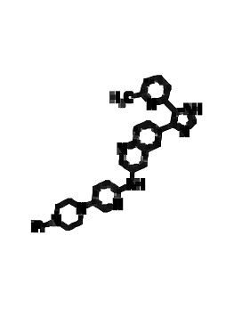 Cc1cccc(-c2[nH]cnc2-c2ccc3ncc(Nc4ccc(N5CCN(C(C)C)CC5)cn4)cc3c2)n1